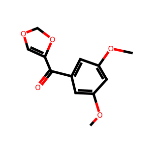 COc1cc(OC)cc(C(=O)C2=COCO2)c1